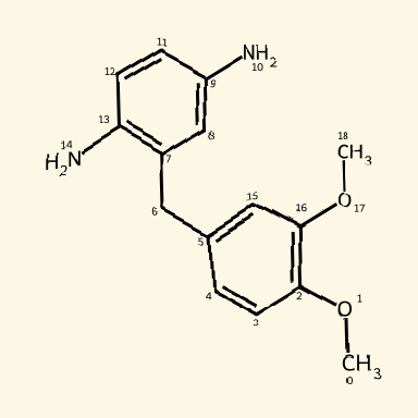 COc1ccc(Cc2cc(N)ccc2N)cc1OC